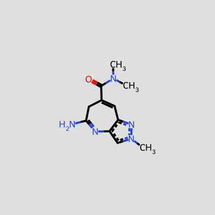 CN(C)C(=O)C1=Cc2nn(C)cc2N=C(N)C1